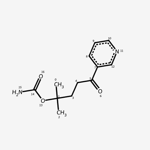 CC(C)(CCC(=O)c1cccnc1)OC(N)=O